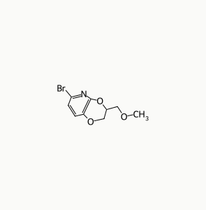 COCC1COc2ccc(Br)nc2O1